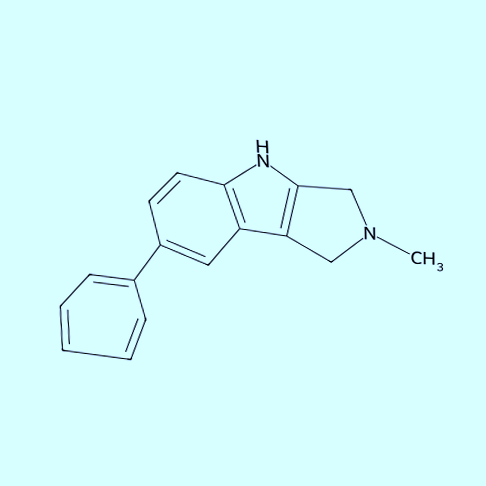 CN1Cc2[nH]c3ccc(-c4ccccc4)cc3c2C1